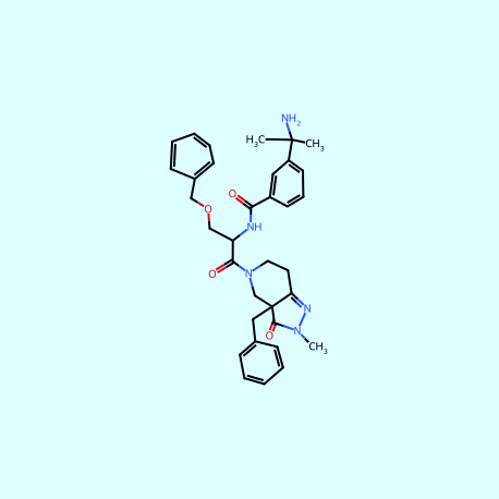 CN1N=C2CCN(C(=O)C(COCc3ccccc3)NC(=O)c3cccc(C(C)(C)N)c3)CC2(Cc2ccccc2)C1=O